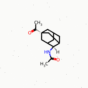 CC(=O)N[C@H]1C2CC3CC1C[C@](C(C)=O)(C3)C2